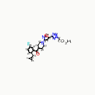 O=C(O)Cn1nnc(-c2cc(N3CCC(C(=O)c4cc(F)ccc4CC4CC4)CC3)no2)n1